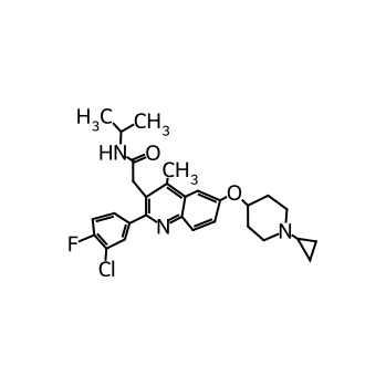 Cc1c(CC(=O)NC(C)C)c(-c2ccc(F)c(Cl)c2)nc2ccc(OC3CCN(C4CC4)CC3)cc12